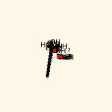 CCCCCCCCCCCCCCCCCCN(C(=O)CC(C(N)=O)S(=O)(=O)O)C(CC(=O)O)C(=O)O.[NaH].[NaH].[NaH].[NaH]